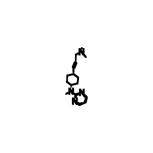 CN(C)CC#C[C@H]1CC[C@H](N(C)c2ncccn2)CC1